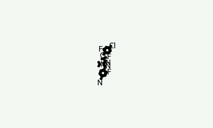 CC(C)n1c(-c2ccc(C#N)cc2F)nnc1C(C)(C)Oc1c(F)cc(Cl)cc1F